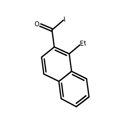 CCc1c(C(=O)I)ccc2ccccc12